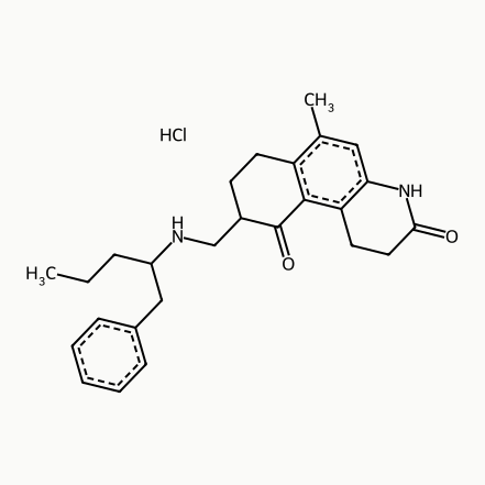 CCCC(Cc1ccccc1)NCC1CCc2c(C)cc3c(c2C1=O)CCC(=O)N3.Cl